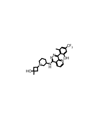 Cc1cc(C(F)(F)F)cc(O)c1-c1nnc(NC2CCCN(C3CC(C)(O)C3)C2)c2cccnc12